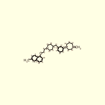 Cc1ccc2c(OCCN3CCC(Cc4cccc(N5CCCN(C)CC5)c4)CC3)cccc2n1